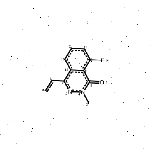 C=Cc1nn(C)c(=O)c2c(F)cccc12